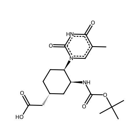 Cc1cn([C@@H]2CC[C@@H](CC(=O)O)C[C@@H]2NC(=O)OC(C)(C)C)c(=O)[nH]c1=O